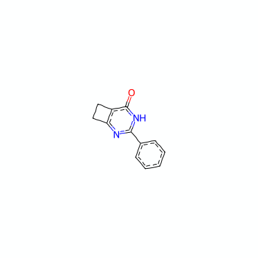 O=c1[nH]c(-c2ccccc2)nc2c1CC2